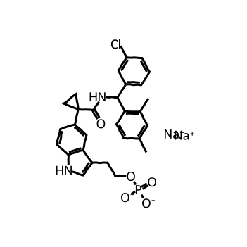 Cc1ccc(C(NC(=O)C2(c3ccc4[nH]cc(CCOP(=O)([O-])[O-])c4c3)CC2)c2cccc(Cl)c2)c(C)c1.[Na+].[Na+]